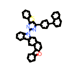 c1ccc2c(-c3ccc(-c4nc(-n5c6ccccc6c6cc7c(ccc8oc9ccccc9c87)cc65)nc5c4sc4ccccc45)cc3)cccc2c1